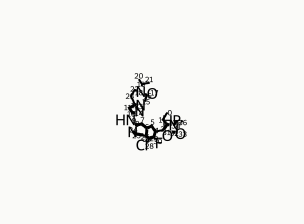 CCc1c(-c2cc3cc(Nc4cc5n(n4)CC(=O)N(C(C)C)CC5)ncc3c(Cl)c2F)oc(=O)n1PC